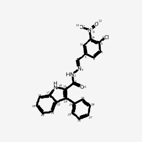 O=C(NN=Cc1ccc(Cl)c([N+](=O)[O-])c1)c1[nH]c2ccccc2c1-c1ccccc1